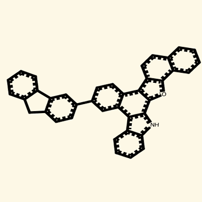 c1ccc2c(c1)Cc1ccc(-c3ccc4c(c3)c3c5ccccc5[nH]c3c3oc5c6ccccc6ccc5c43)cc1-2